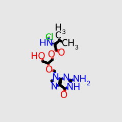 CC(C)[C@H](NCl)C(=O)OCC(CO)OCn1cnc2c(=O)[nH]c(N)nc21